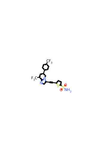 NS(=O)(=O)c1ccc(C#Cc2cnc3c(C(F)(F)F)cc(-c4ccc(C(F)(F)F)cc4)cn23)s1